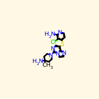 CC1(N)CCN(c2ncc(Sc3ccnc(N)c3Cl)c3nccn23)CC1